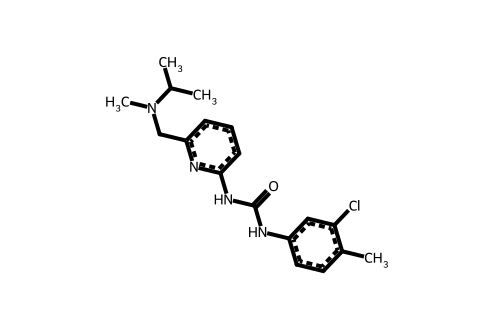 Cc1ccc(NC(=O)Nc2cccc(CN(C)C(C)C)n2)cc1Cl